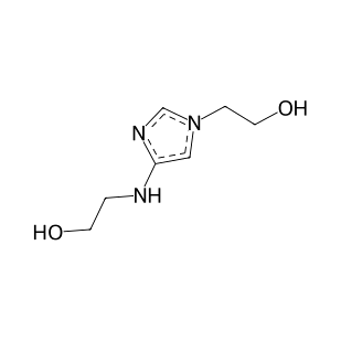 OCCNc1cn(CCO)cn1